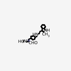 Cc1[nH]c2ccccc2c1CCNCc1ccc(/C=C(\C=O)CNO)cc1